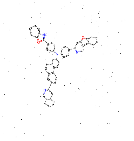 c1ccc2cc(-c3ccc4c(ccc5cc(N(c6ccc(-c7cc8oc9ccccc9c8cn7)cc6)c6ccc(-c7nc8ccccc8o7)cc6)ccc54)c3)ncc2c1